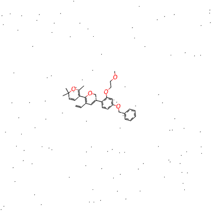 C=CC1=C(C2=C(C)OC(C)(C)C=C2)OCC(c2ccc(OCc3ccccc3)cc2OCCOC)=C1